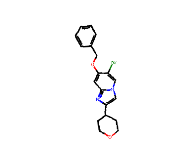 Brc1cn2cc(C3CCOCC3)nc2cc1OCc1ccccc1